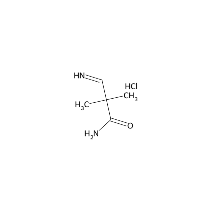 CC(C)(C=N)C(N)=O.Cl